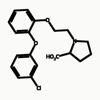 O=C(O)C1CCCN1CCOc1ccccc1Oc1cccc(Cl)c1